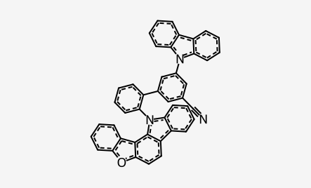 N#Cc1cc(-c2ccccc2-n2c3ccccc3c3ccc4oc5ccccc5c4c32)cc(-n2c3ccccc3c3ccccc32)c1